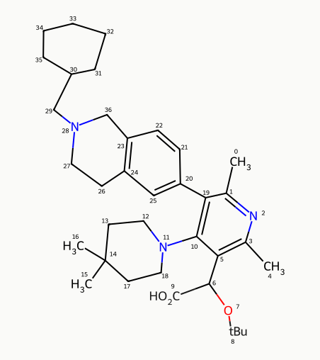 Cc1nc(C)c(C(OC(C)(C)C)C(=O)O)c(N2CCC(C)(C)CC2)c1-c1ccc2c(c1)CCN(CC1CCCCC1)C2